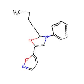 CCCCC1OC(c2ccno2)=[C]N1c1ccccc1